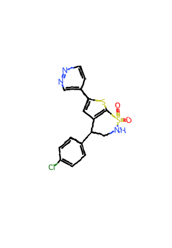 O=S1(=O)NCC(c2ccc(Cl)cc2)c2cc(-c3ccnnc3)sc21